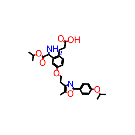 Cc1oc(-c2ccc(OC(C)C)cc2)nc1CCOc1ccc(CCC(=O)O)c(C(N)C(=O)OC(C)C)c1